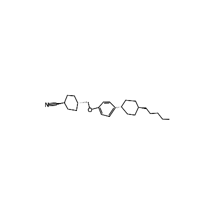 CCCCC[C@H]1CC[C@H](c2ccc(OC[C@H]3CC[C@H](C#N)CC3)cc2)CC1